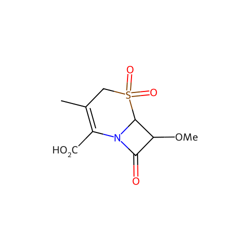 COC1C(=O)N2C(C(=O)O)=C(C)CS(=O)(=O)C12